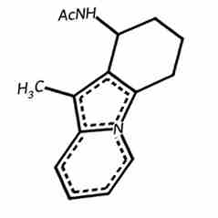 CC(=O)NC1CCCc2c1c(C)c1ccccn21